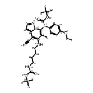 CCOc1ccc(N(C(=O)OC(C)(C)C)c2c(C)c(NCCCCNC(=O)OC(C)(C)C)c(C#N)c3ccnn23)cc1